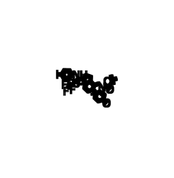 CC(C)(C)OC(=O)N1CC2C3CCC(C(=O)Nc4ccc(I)cc4OC(F)(F)F)[C@@]3(C)CCC2[C@@]2(C)CCC(=O)C=C12